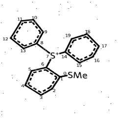 CSc1ccccc1[S+](c1ccccc1)c1ccccc1